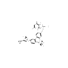 CCc1nc2c(C)cc(C)nc2n1Cc1ccc(-c2cc(-n3cc(C4CC4)nn3)ccc2C2N=NN=N2)cc1